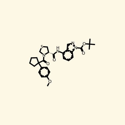 COc1ccc(C2(C(=O)N3CSC[C@@H]3C(=O)Nc3cccc4c3cnn4C(=O)OC(C)(C)C)CCCC2)cc1